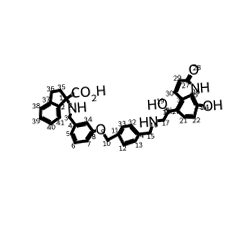 O=C(O)C1(NCc2cccc(OCc3ccc(CNC[C@H](O)c4ccc(O)c5[nH]c(=O)ccc45)cc3)c2)CCc2ccccc21